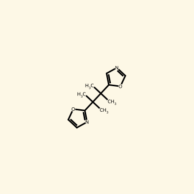 CC(C)(c1cnco1)C(C)(C)c1ncco1